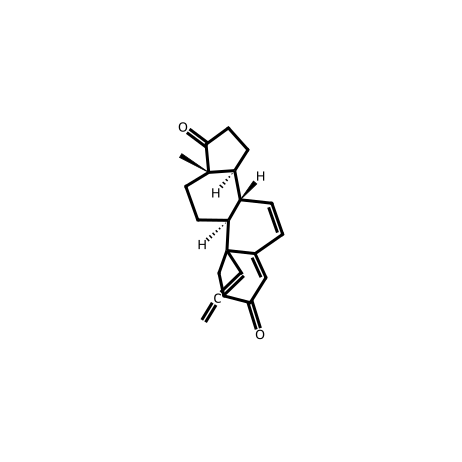 C=C=CC12CCC(=O)C=C1C=C[C@@H]1[C@@H]2CC[C@]2(C)C(=O)CC[C@@H]12